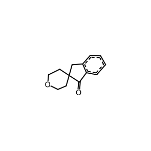 O=C1c2ccccc2CC12CCOCC2